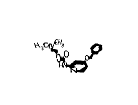 CN(C)CCOC(=O)Nc1cc(OCc2ccccc2)ccn1